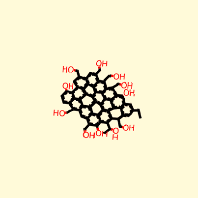 CCc1cc2c3c(c1)c(O)c1c(CO)c4c(CO)c5c(CO)cc6c(CO)cc7c8c(O)ccc9c(CO)c%10cc%11c(CO)c(O)c%12c(C(C)O)c(c%13c3c1c1c4c3c5c6c7c4c(c98)c%10c5c%11c%12c%13c1c5c34)C2CO